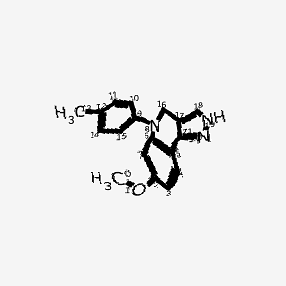 COc1ccc2c(c1)N(c1ccc(C)cc1)Cc1c[nH]nc1-2